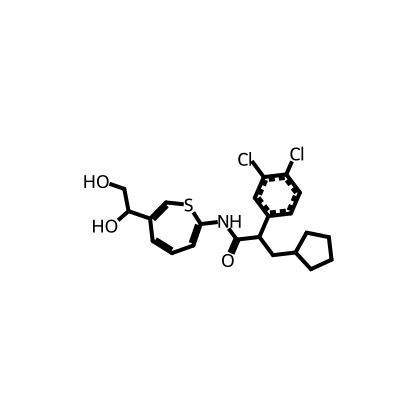 O=C(NC1=CC=CC(C(O)CO)=CS1)C(CC1CCCC1)c1ccc(Cl)c(Cl)c1